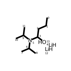 CCCC(O)N(C(C)C)C(C)C.[LiH].[LiH]